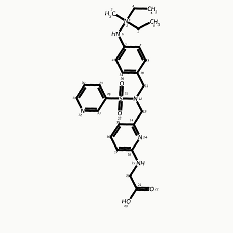 CC[N+](C)(CC)Nc1ccc(CN(Cc2cccc(NCC(=O)O)n2)S(=O)(=O)c2cccnc2)cc1